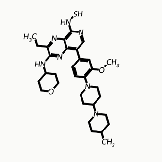 CCc1nc2c(NS)ncc(-c3ccc(N4CCC(N5CCC(C)CC5)CC4)c(OC)c3)c2nc1NC1CCOCC1